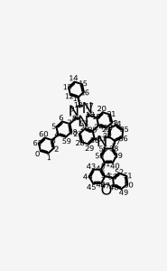 c1ccc(-c2ccc(-c3nc(-c4ccccc4)nc(-c4ccccc4-c4ccccc4-n4c5ccccc5c5ccc(-c6cccc7oc8ccccc8c67)cc54)n3)cc2)cc1